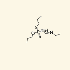 CCCOP(=S)(NC=NCC)SCCC